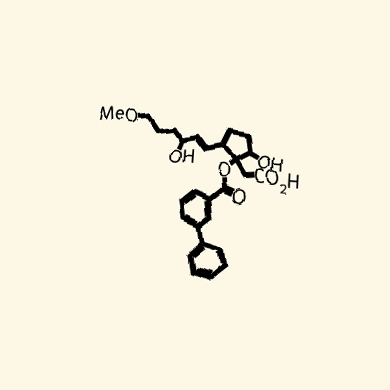 COCCCC(O)C=CC1CCC(O)C1(CC(=O)O)OC(=O)c1cccc(-c2ccccc2)c1